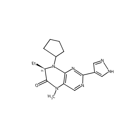 CC[C@@H]1C(=O)N(C)c2cnc(-c3cn[nH]c3)nc2N1C1CCCC1